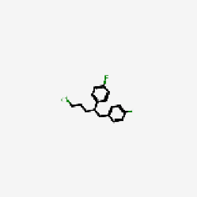 Fc1ccc(CC(CCCCl)c2ccc(F)cc2)cc1